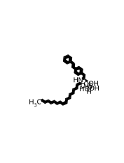 CCCCCCCC/C=C\CCCCCCCC(=O)N[C@H](CO[PH](O)(O)O)Cc1ccc(/C=C/c2ccccc2)cc1